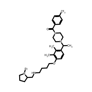 CCN1CCCC1CNCCCCOc1ccc(C(C)N2CCN(C(=O)c3ccc(C(F)(F)F)cc3)CC2)c(C)c1C